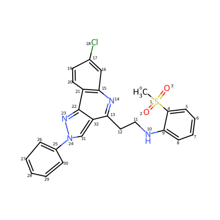 CS(=O)(=O)c1ccccc1NCCc1nc2cc(Cl)ccc2c2nn(-c3ccccc3)cc12